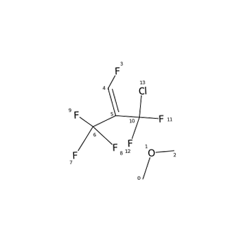 COC.FC=C(C(F)(F)F)C(F)(F)Cl